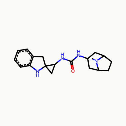 CN1C2CCC1CC(NC(=O)NC1CC13Cc1ccccc1N3)C2